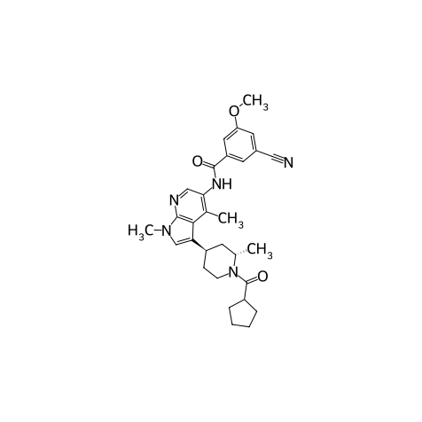 COc1cc(C#N)cc(C(=O)Nc2cnc3c(c([C@@H]4CCN(C(=O)C5CCCC5)[C@@H](C)C4)cn3C)c2C)c1